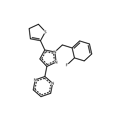 FC1CC=CC=C1Cn1nc(-c2ncccn2)cc1C1=CCCS1